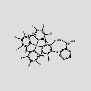 CCCC[NH+](CCCC)c1ccccc1.Fc1c(F)c(F)c([B-](c2c(F)c(F)c(F)c(F)c2F)(c2c(F)c(F)c(F)c(F)c2F)c2c(F)c(F)c(F)c(F)c2F)c(F)c1F